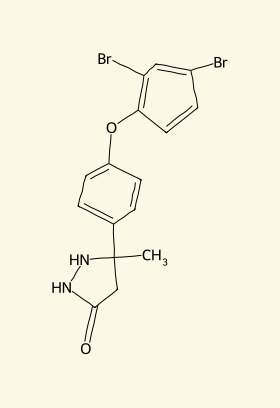 CC1(c2ccc(Oc3ccc(Br)cc3Br)cc2)CC(=O)NN1